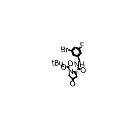 CC(C)(C)OC(=O)N1CC(=O)C[C@H]1C(=O)NCc1cc(F)cc(Br)c1